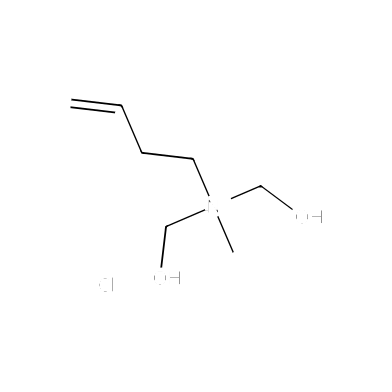 C=CCC[N+](C)(CO)CO.[Cl-]